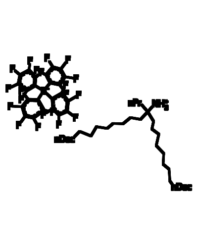 CCCCCCCCCCCCCCCCCCC([NH3+])(CCC)CCCCCCCCCCCCCCCCCC.Fc1c(F)c(F)c([B-](c2c(F)c(F)c(F)c(F)c2F)(c2c(F)c(F)c(F)c(F)c2F)c2c(F)c(F)c(F)c(F)c2F)c(F)c1F